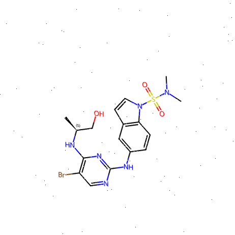 C[C@@H](CO)Nc1nc(Nc2ccc3c(ccn3S(=O)(=O)N(C)C)c2)ncc1Br